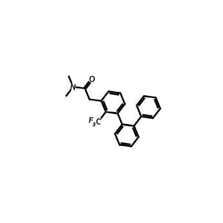 CN(C)C(=O)Cc1cccc(-c2ccccc2-c2ccccc2)c1C(F)(F)F